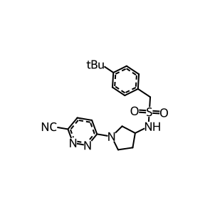 CC(C)(C)c1ccc(CS(=O)(=O)NC2CCN(c3ccc(C#N)nn3)C2)cc1